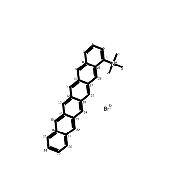 C[N+](C)(C)c1cccc2cc3cc4cc5cc6ccccc6cc5cc4cc3cc12.[Br-]